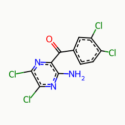 Nc1nc(Cl)c(Cl)nc1C(=O)c1ccc(Cl)c(Cl)c1